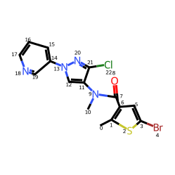 Cc1sc(Br)cc1C(=O)N(C)c1cn(-c2cccnc2)nc1Cl